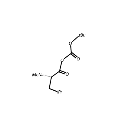 CN[C@@H](CC(C)C)C(=O)OC(=O)OC(C)(C)C